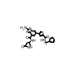 C[C@H](NC(=O)c1cc(-c2cc(C(=O)NC3CNC(=O)C3)c3nc(N)nn3c2)cs1)c1ccccc1